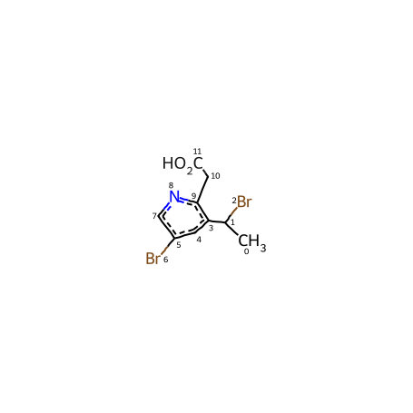 CC(Br)c1cc(Br)cnc1CC(=O)O